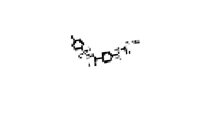 Cc1ccc(S(=O)(=O)OCC(O)c2ccc([C@H](C)NC(=O)OC(C)(C)C)cc2)cc1